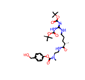 C[C@@H](CCCN/C(=N/C(=O)OC(C)(C)C)NC(=O)OC(C)(C)C)C(=O)NCCN(C)C(=O)Oc1ccc(CO)cc1